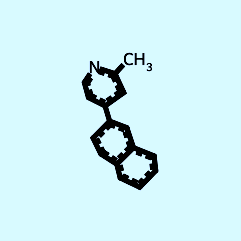 Cc1cc(-c2ccc3ccccc3c2)ccn1